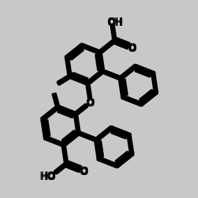 Cc1ccc(C(=O)O)c(-c2ccccc2)c1Oc1c(C)ccc(C(=O)O)c1-c1ccccc1